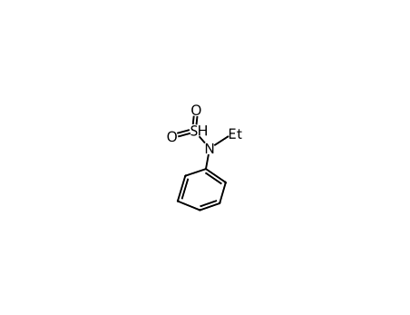 CCN(c1ccccc1)[SH](=O)=O